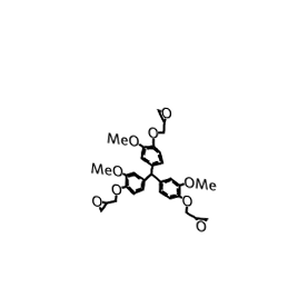 COc1cc(C(c2ccc(OCC3CO3)c(OC)c2)c2ccc(OCC3CO3)c(OC)c2)ccc1OCC1CO1